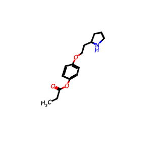 CCC(=O)Oc1ccc(OCCC2CCCN2)cc1